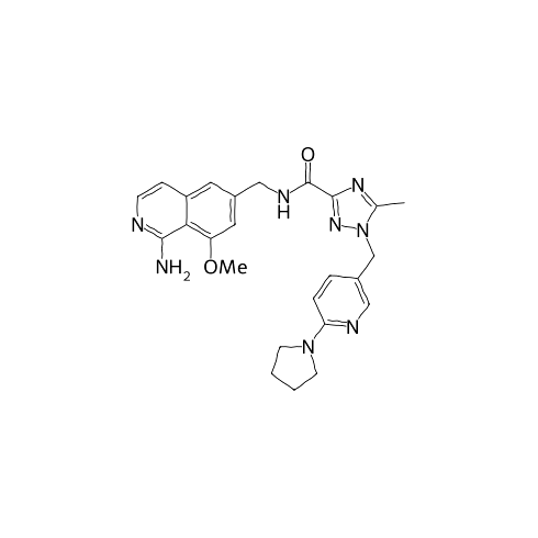 COc1cc(CNC(=O)c2nc(C)n(Cc3ccc(N4CCCC4)nc3)n2)cc2ccnc(N)c12